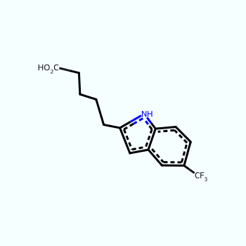 O=C(O)CCCCc1cc2cc(C(F)(F)F)ccc2[nH]1